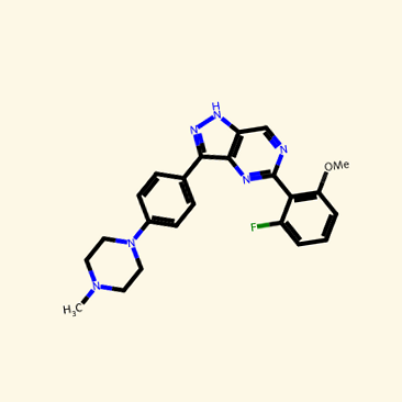 COc1cccc(F)c1-c1ncc2[nH]nc(-c3ccc(N4CCN(C)CC4)cc3)c2n1